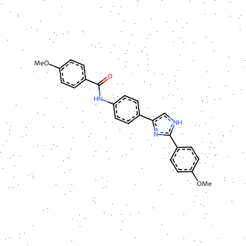 COc1ccc(C(=O)Nc2ccc(-c3c[nH]c(-c4ccc(OC)cc4)n3)cc2)cc1